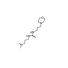 CN(C)CCCNC(=S)NCCCN1CCOCC1